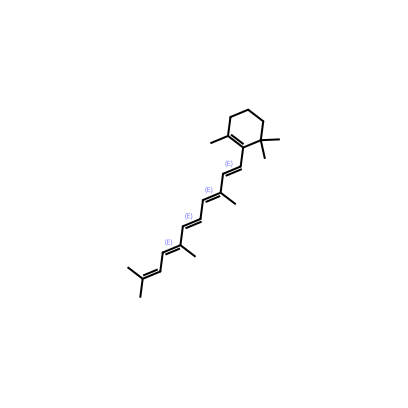 CC(C)=C/C=C(C)/C=C/C=C(C)/C=C/C1=C(C)CCCC1(C)C